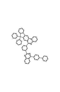 c1ccc(-c2ccc(-c3nc(-c4cccc(-c5nc6ccccc6c6cc7c(cc56)C(c5ccccc5)(c5ccccc5)c5ccccc5-7)c4)nc4ccccc34)cc2)cc1